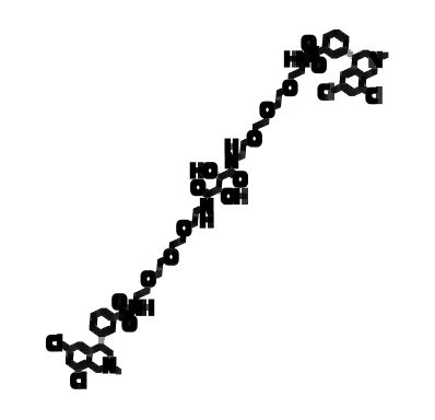 CN1Cc2c(Cl)cc(Cl)cc2[C@H](c2cccc(S(=O)(=O)NCCOCCOCCOCCNC(=O)[C@@H](O)[C@H](O)C(=O)NCCOCCOCCOCCNS(=O)(=O)c3cccc([C@@H]4CN(C)Cc5c(Cl)cc(Cl)cc54)c3)c2)C1